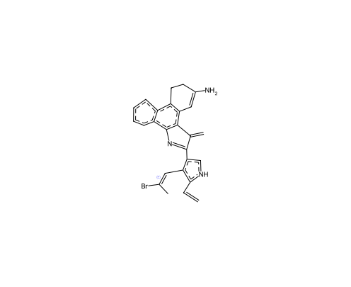 C=Cc1[nH]cc(C2=Nc3c(c4c(c5ccccc35)CCC(N)=C4)C2=C)c1/C=C(\C)Br